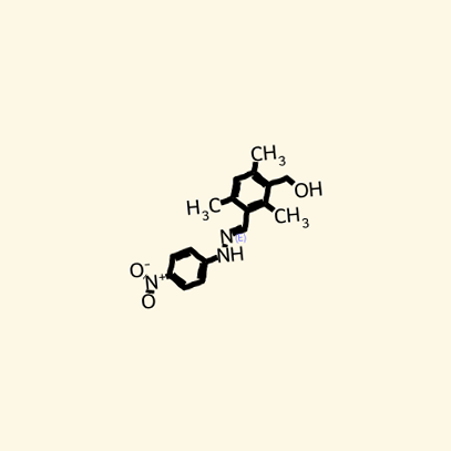 Cc1cc(C)c(CO)c(C)c1/C=N/Nc1ccc([N+](=O)[O-])cc1